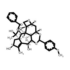 COc1ccc(C2O[C@H]3C[C@H]4OC[C@@]4(O)[C@H]4[C@H](OC(=O)c5ccccc5)[C@]5(C(C)(C)O)C[C@H](O)C(C)=C5[C@H](O)[C@H](O2)[C@]34C)cc1